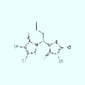 CCCC(n1sc(Cl)c(Cl)c1=O)n1sc(Cl)c(Cl)c1=O